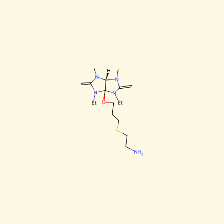 C=C1N(C)[C@H]2N(C)C(=C)N(CC)[C@@]2(OCCCSCCN)N1CC